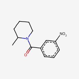 CC1CCCCN1C(=O)c1cccc([N+](=O)[O-])c1